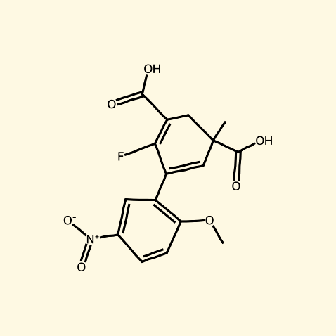 COc1ccc([N+](=O)[O-])cc1C1=CC(C)(C(=O)O)CC(C(=O)O)=C1F